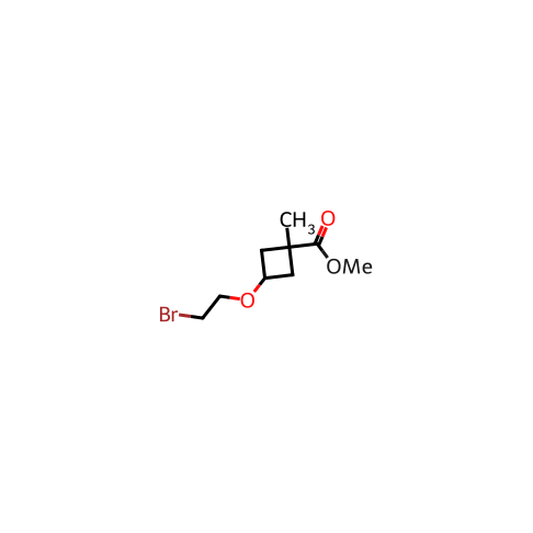 COC(=O)C1(C)CC(OCCBr)C1